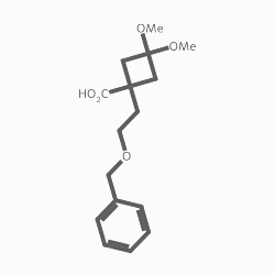 COC1(OC)CC(CCOCc2ccccc2)(C(=O)O)C1